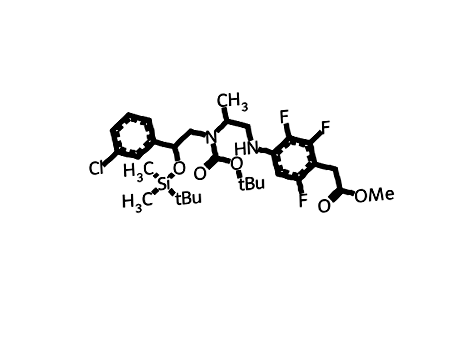 COC(=O)Cc1c(F)cc(NCC(C)N(CC(O[Si](C)(C)C(C)(C)C)c2cccc(Cl)c2)C(=O)OC(C)(C)C)c(F)c1F